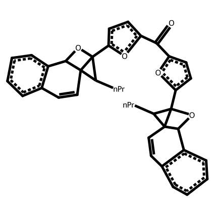 CCCC1C2(c3ccc(C(=O)c4ccc(C56OC7c8ccccc8C=CC75C6CCC)o4)o3)OC3c4ccccc4C=CC312